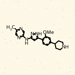 COc1cc(C2CCNCC2)ccc1-c1cc(Nc2cnc(C)cn2)n[nH]1